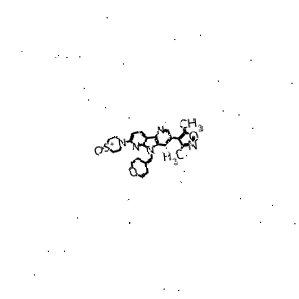 Cc1noc(C)c1-c1cnc2c3ccc(N4CC[S+]([O-])CC4)nc3n(CC3CCOCC3)c2c1